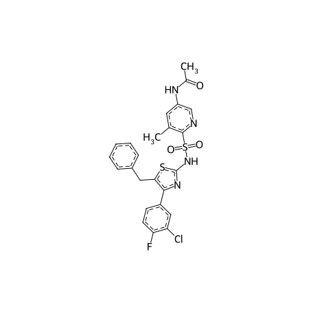 CC(=O)Nc1cnc(S(=O)(=O)Nc2nc(-c3ccc(F)c(Cl)c3)c(Cc3ccccc3)s2)c(C)c1